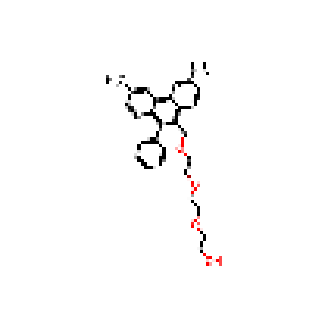 Cc1ccc2c(COCCOCCOCCO)c(-c3ccccc3)c3ccc(C)cc3c2c1